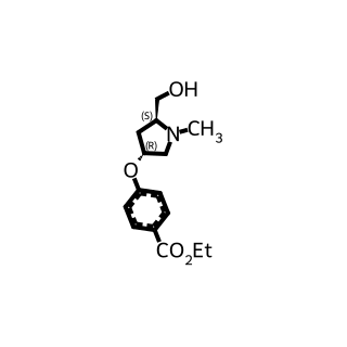 CCOC(=O)c1ccc(O[C@@H]2C[C@@H](CO)N(C)C2)cc1